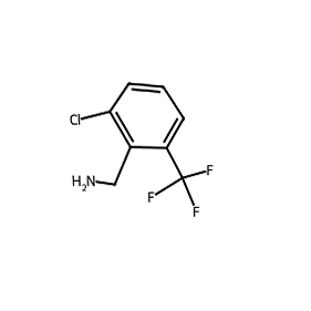 NCc1c(Cl)cccc1C(F)(F)F